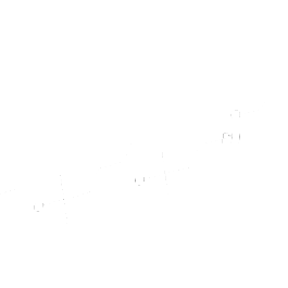 CCOC(C)(C)CCC(C)OC(C)(C)CCPOC(C)C